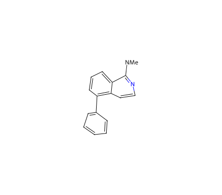 CNc1nccc2c(-c3ccccc3)cccc12